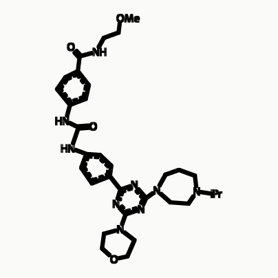 COCCNC(=O)c1ccc(NC(=O)Nc2ccc(-c3nc(N4CCOCC4)nc(N4CCCN(C(C)C)CC4)n3)cc2)cc1